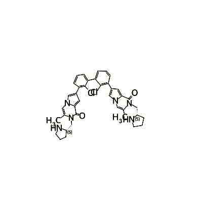 Cc1cn2cc(-c3cccc(-c4cccc(-c5cc6c(=O)n(C[C@@H]7CCCN7)c(C)cn6c5)c4Cl)c3Cl)cc2c(=O)n1C[C@@H]1CCCN1